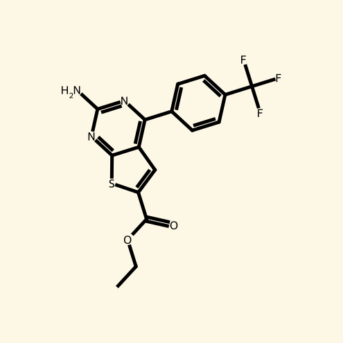 CCOC(=O)c1cc2c(-c3ccc(C(F)(F)F)cc3)nc(N)nc2s1